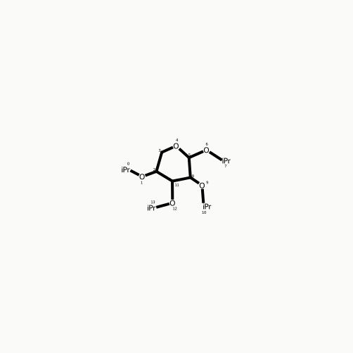 CC(C)OC1COC(OC(C)C)C(OC(C)C)C1OC(C)C